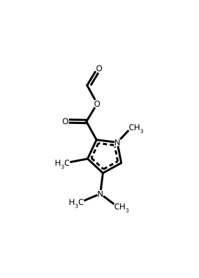 Cc1c(N(C)C)cn(C)c1C(=O)OC=O